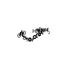 CCCCCNc1nc(N)nc2ccn(Cc3ccc(CN4CCN(CCOCCN5C(=O)CC(C)C5=O)CC4)cc3C)c12